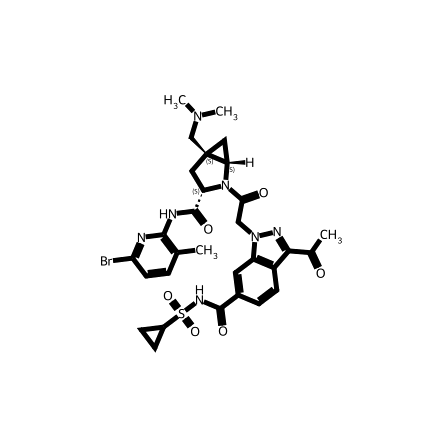 CC(=O)c1nn(CC(=O)N2[C@H]3C[C@@]3(CN(C)C)C[C@H]2C(=O)Nc2nc(Br)ccc2C)c2cc(C(=O)NS(=O)(=O)C3CC3)ccc12